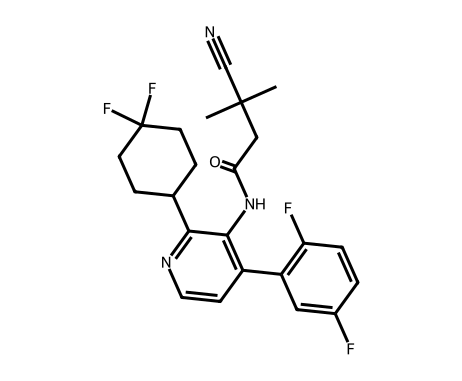 CC(C)(C#N)CC(=O)Nc1c(-c2cc(F)ccc2F)ccnc1C1CCC(F)(F)CC1